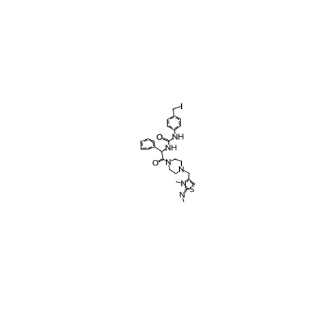 C/N=c1\scc(CN2CCN(C(=O)[C@H](NC(=O)Nc3ccc(CI)cc3)c3ccccc3)CC2)n1C